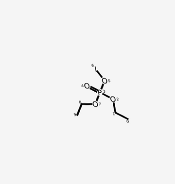 CCOP(=O)(OI)OCC